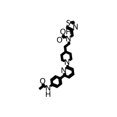 CC(=O)Nc1ccc(-c2cccc(N3CCC(CCN(Cc4cscn4)C(=O)O)CC3)n2)cc1